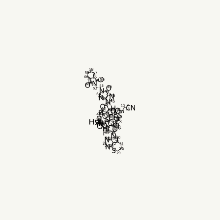 CC(C)(C)[Si](C)(C)O[C@H]1[C@H]2OP(=S)(OCCC#N)OC[C@H]3O[C@@H](n4cc5c6c(ncnc64)SCCC5)[C@H](F)[C@@H]3OP(=O)(S)OC[C@H]1O[C@H]2n1cnc2c(=O)n(CCN3C(=O)c4ccccc4C3=O)cnc21